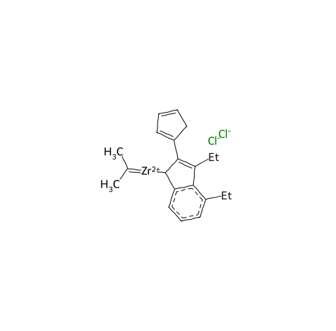 CCC1=C(C2=CC=CC2)[CH]([Zr+2]=[C](C)C)c2cccc(CC)c21.[Cl-].[Cl-]